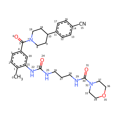 Cc1ccc(C(=O)N2CCC(c3ccc(C#N)cc3)CC2)cc1NC(=O)NCCCNC(=O)N1CCOCC1